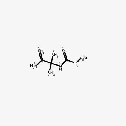 C=C(N)C(C)(C)NC(=O)OC(C)(C)C